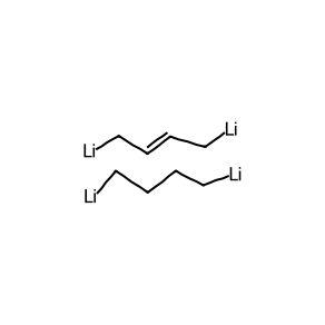 [Li][CH2]C=C[CH2][Li].[Li][CH2]CC[CH2][Li]